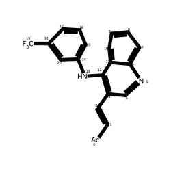 CC(=O)/C=C/c1cnc2ccccc2c1Nc1cccc(C(F)(F)F)c1